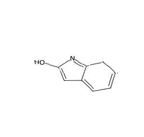 OC1=CC2=CC=[C]CC2=N1